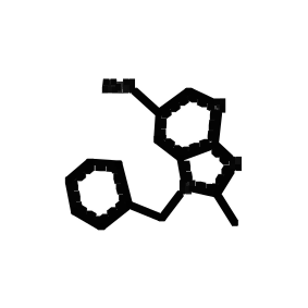 CNc1cnc2nc(C)n(Cc3ccccc3)c2c1